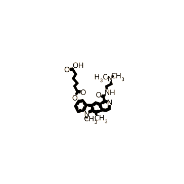 Cc1c2ccnc(C(=O)NCCN(C)C)c2cc2c3cc(OC(=O)CCCCC(=O)O)ccc3n(C)c12